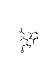 COC[C@H](C)N(C(=O)CCl)c1c(C)cccc1C